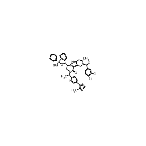 Cc1ncnn1-c1ccc(C(C)N2C[C@@H](CO[Si](c3ccccc3)(c3ccccc3)C(C)(C)C)n3nc4c(c3C2=O)CN(C(=O)c2ccc(Cl)c(Cl)c2)[C@H](C)C4)nc1